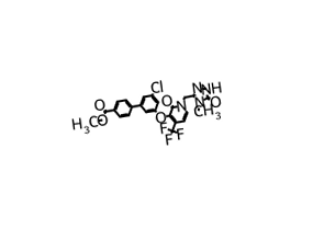 COC(=O)c1ccc(-c2cc(Cl)cc(Oc3c(C(F)(F)F)ccn(Cc4n[nH]c(=O)n4C)c3=O)c2)cc1